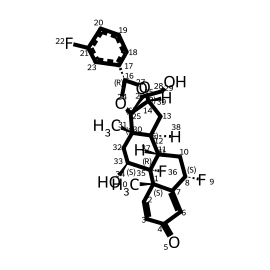 C[C@]12C=CC(=O)C=C1[C@@H](F)C[C@H]1[C@@H]3C[C@H]4O[C@@H](c5cccc(F)c5)O[C@@]4(C(=O)CO)[C@@]3(C)C[C@H](O)[C@@]12F